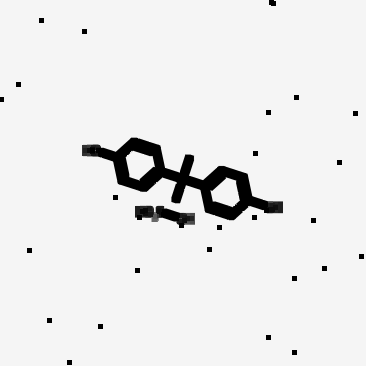 CC(C)(c1ccc(O)cc1)c1ccc(O)cc1.O=S(=O)(O)O